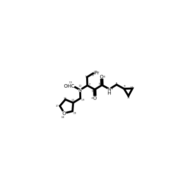 CC(C)CC(C(=O)C(=O)NCC1CC1)N(C=O)CC1CCOC1